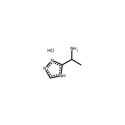 CC(N)c1nnc[nH]1.Cl